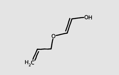 C=CCOC=CO